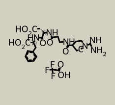 N=C(N)N1CCC(C(=O)NCCC(=O)N[C@@H](CC(=O)O)C(=O)N[C@@H](Cc2ccccc2)C(=O)O)CC1.O=C(O)C(F)(F)F